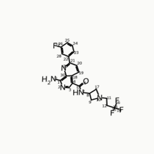 Nc1ncc(C(=O)NC2CN(CCC(F)(F)F)C2)c2ccc(-c3cccc(F)c3)nc12